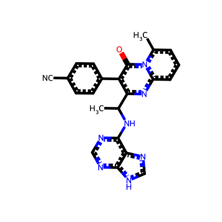 Cc1cccc2nc(C(C)Nc3ncnc4[nH]cnc34)c(-c3ccc(C#N)cc3)c(=O)n12